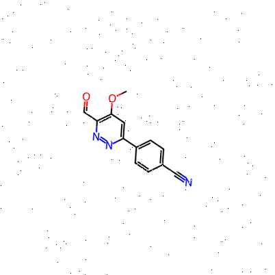 COc1cc(-c2ccc(C#N)cc2)nnc1C=O